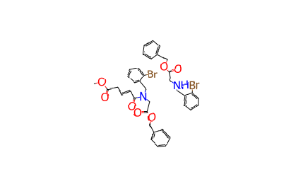 COC(=O)CC=CC(=O)N(CC(=O)OCc1ccccc1)Cc1ccccc1Br.O=C(CNCc1ccccc1Br)OCc1ccccc1